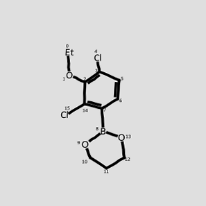 CCOc1c(Cl)ccc(B2OCCCO2)c1Cl